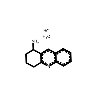 Cl.NC1CCCc2nc3ccccc3cc21.O